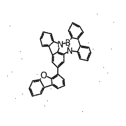 c1ccc2c(c1)B1N(c3ccccc3-2)c2cc(-c3cccc4c3oc3ccccc34)cc3c4ccccc4n1c23